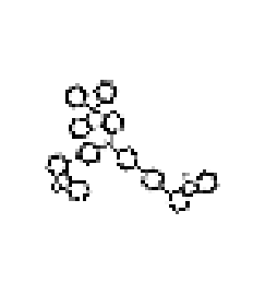 c1ccc(C2(c3ccccc3)c3ccccc3-c3c(N(c4ccc(-c5ccc(-c6cccc7c6sc6ccccc67)cc5)cc4)c4ccc(-c5cccc6oc7ccccc7c56)cc4)cccc32)cc1